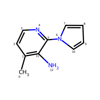 Cc1ccnc(-n2cccc2)c1N